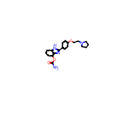 NC(=O)Oc1cccc2[nH]c(-c3ccc(OCCN4CCCC4)cc3)nc12